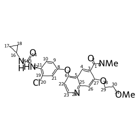 CNC(=O)c1cc2c(Oc3ccc(NC(=O)NC4CC4)c(Cl)c3)ccnc2cc1OCCOC